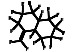 FC(F)=C1C(F)(F)C(F)(F)C(F)(F)C2(F)C(F)(F)C(F)(F)C(F)(F)C(F)(F)C12F